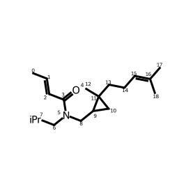 C/C=C/C(=O)N(CC(C)C)CC1CC1(C)CCC=C(C)C